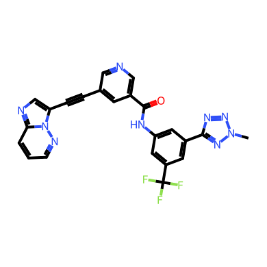 Cn1nnc(-c2cc(NC(=O)c3cncc(C#Cc4cnc5cccnn45)c3)cc(C(F)(F)F)c2)n1